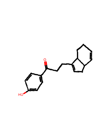 O=C(CCC1=CCC2C=CCCC12)c1ccc(O)cc1